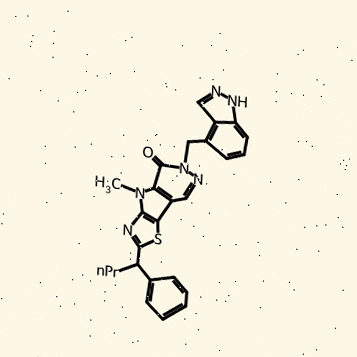 CCCC(c1ccccc1)c1nc2c(s1)c1cnn(Cc3cccc4[nH]ncc34)c(=O)c1n2C